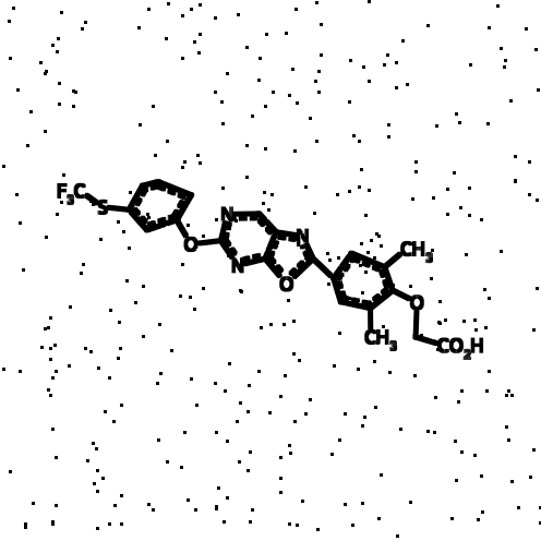 Cc1cc(-c2nc3cnc(Oc4cccc(SC(F)(F)F)c4)nc3o2)cc(C)c1OCC(=O)O